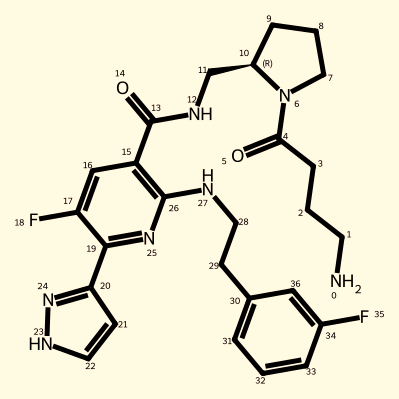 NCCCC(=O)N1CCC[C@@H]1CNC(=O)c1cc(F)c(-c2cc[nH]n2)nc1NCCc1cccc(F)c1